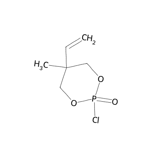 C=CC1(C)COP(=O)(Cl)OC1